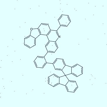 c1ccc(-c2nc3ccc(-c4ccccc4-c4ccc5c(c4)C4(c6ccccc6-c6ccccc64)c4ccccc4-5)cc3c3c2ccc2oc4ccccc4c23)cc1